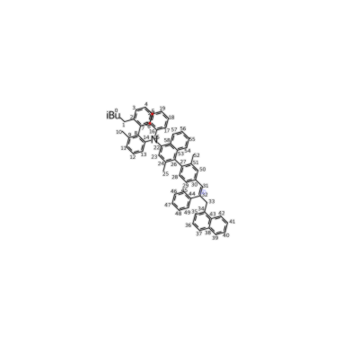 CCC(C)Cc1ccccc1-c1c(C)cccc1N(c1ccccc1)c1cc(C)c(-c2ccc(/C=C(/Cc3cccc4ccccc34)c3ccccc3)cc2C)c2ccccc12